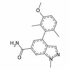 COc1ccc(C)c(-c2cc(C(N)=O)cc3c2cnn3C)c1C